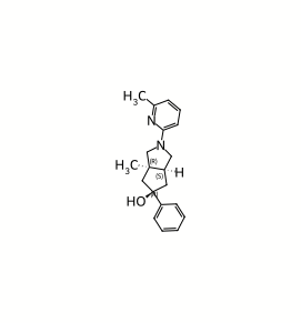 Cc1cccc(N2C[C@H]3C[C@](O)(c4ccccc4)C[C@@]3(C)C2)n1